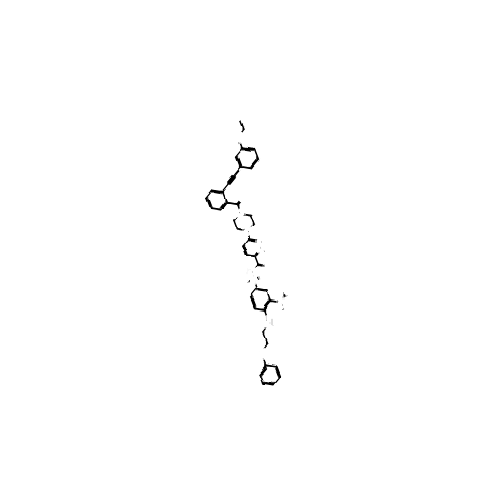 CCOc1cccc(C#Cc2ccccc2C(=O)N2CCN(c3ccc(C(=O)NS(=O)(=O)c4ccc(NCCSc5ccccc5)c([N+](=O)[O-])c4)nn3)CC2)c1